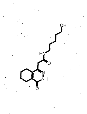 O=C(Cc1n[nH]c(=O)c2c1CCCC2)NCCCCCO